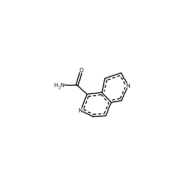 NC(=O)c1nccc2cnccc12